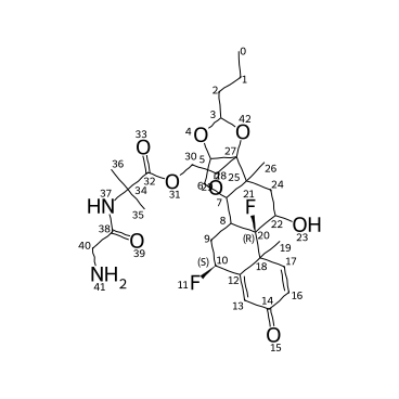 CCCC1OC2CC3C4C[C@H](F)C5=CC(=O)C=CC5(C)[C@@]4(F)C(O)CC3(C)C2(C(=O)COC(=O)C(C)(C)NC(=O)CN)O1